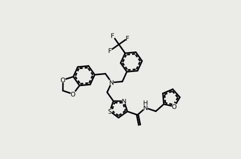 C=C(NCc1ccco1)c1csc(CN(Cc2cccc(C(F)(F)F)c2)Cc2ccc3c(c2)OCO3)n1